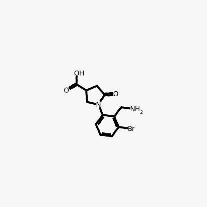 NCc1c(Br)cccc1N1CC(C(=O)O)CC1=O